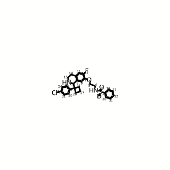 O=S(=O)(NCCOc1cc2c(cc1F)CCNC2C1(c2ccc(Cl)cc2)CCC1)c1ccccc1